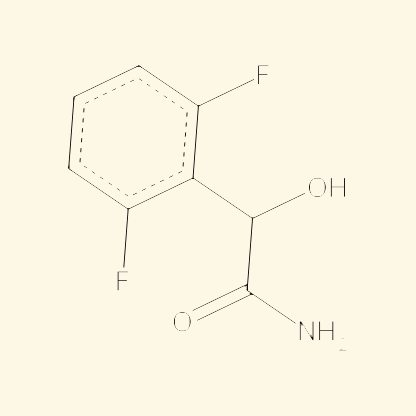 NC(=O)C(O)c1c(F)cccc1F